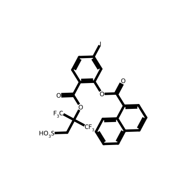 O=C(OC(CS(=O)(=O)O)(C(F)(F)F)C(F)(F)F)c1ccc(I)cc1OC(=O)c1cccc2ccccc12